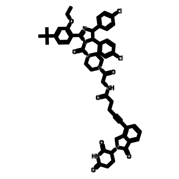 CCOc1cc(C(C)(C)C)ccc1C1=NC(c2ccc(Cl)cc2)C(c2ccc(Cl)cc2)N1C(=O)N1CCN(C(=O)CNC(=O)CCC#Cc2cccc3c2CN(C2CCC(=O)NC2=O)C3=O)CC1